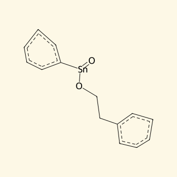 [O]=[Sn]([O]CCc1ccccc1)[c]1ccccc1